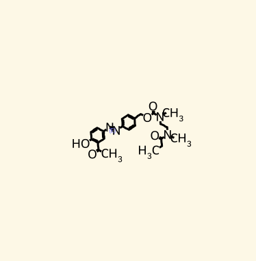 CCC(=O)N(C)CCN(C)C(=O)OCc1ccc(/N=N/c2ccc(O)c(C(C)=O)c2)cc1